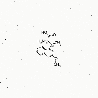 COc1cc([C@H](C)[C@H](N)C(=O)O)c2ccccc2c1